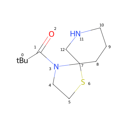 CC(C)(C)C(=O)N1CCSC12CCCNC2